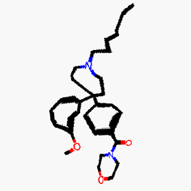 CCCCCCN1CCC(c2ccc(C(=O)N3CCOCC3)cc2)(c2cccc(OC)c2)CC1